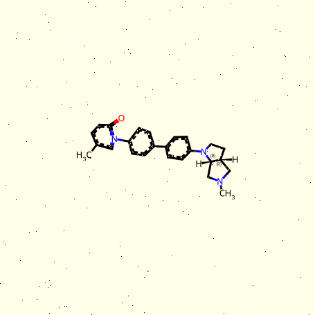 Cc1ccc(=O)n(-c2ccc(-c3ccc(N4CC[C@@H]5CN(C)C[C@@H]54)cc3)cc2)c1